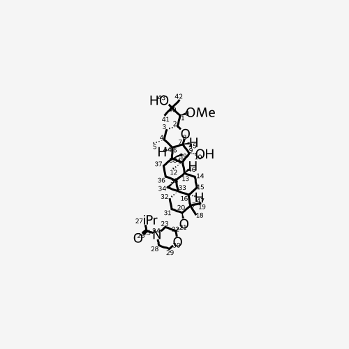 CO[C@@H]([C@H]1C[C@@H](C)[C@H]2[C@H](O1)[C@H](O)[C@@]1(C)[C@@H]3CC[C@H]4C(C)(C)[C@@H](O[C@H]5CN(C(=O)C(C)C)CCO5)CC[C@@]45C[C@@]35CC[C@]21C)C(C)(C)O